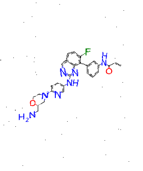 C=CC(=O)Nc1cccc(-c2c(F)ccc3cnc(Nc4ccc(N5CCOC(CN)C5)nc4)nc23)c1